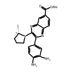 COC(=O)c1ccc2nc(-c3ccc(N)c(N)c3)c(N3CCC[C@@H]3C)nc2c1